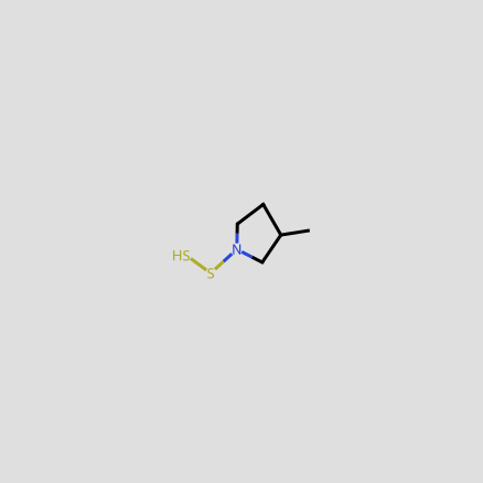 CC1CCN(SS)C1